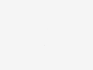 [Cl][Sb]([Cl])([Cl])([Cl])[Cl].[Cl][Sb]([Cl])[Cl]